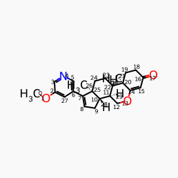 COc1cncc(C2=CC[C@H]3[C@@H]4COC5=CC(=O)CC[C@]5(C)[C@H]4CC[C@]23C)c1